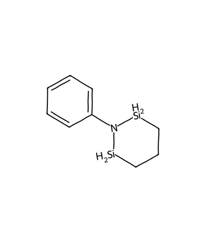 c1ccc(N2[SiH2]CCC[SiH2]2)cc1